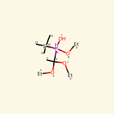 CCOC(C)(OCC)[PH](O)(OCC)[Si](C)(C)C